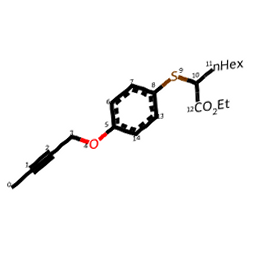 CC#CCOc1ccc(SC(CCCCCC)C(=O)OCC)cc1